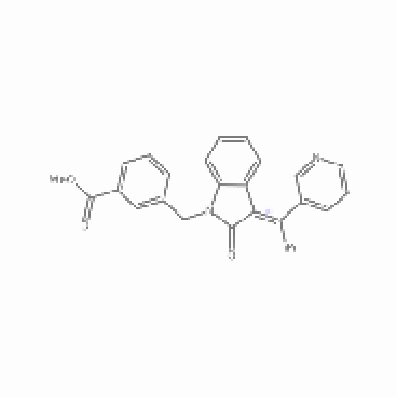 COC(=O)c1cccc(CN2C(=O)/C(=C(/c3cccnc3)C(C)C)c3ccccc32)c1